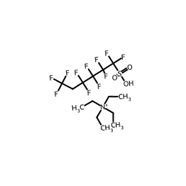 CC[N+](CC)(CC)CC.O=S(=O)(O)C(F)(F)C(F)(F)C(F)(F)C(F)(F)CC(F)(F)F